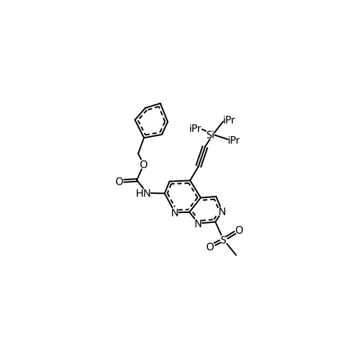 CC(C)[Si](C#Cc1cc(NC(=O)OCc2ccccc2)nc2nc(S(C)(=O)=O)ncc12)(C(C)C)C(C)C